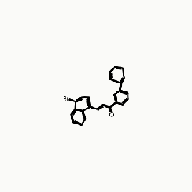 O=C(/C=C/c1ccc(Br)c2ccccc12)c1cccc(-c2ccccc2)c1